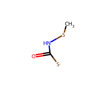 CSNC(=O)[S]